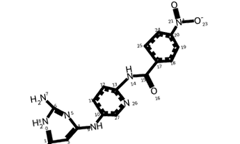 C=C(C)/C=C(\N=C(N)N)Nc1ccc(NC(=O)c2ccc([N+](=O)[O-])cc2)nc1